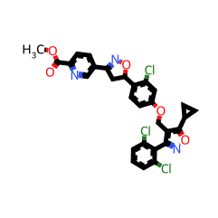 COC(=O)c1ccc(C2=NOC(c3ccc(OCc4c(-c5c(Cl)cccc5Cl)noc4C4CC4)cc3Cl)C2)cn1